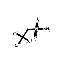 NS(=O)(=O)CC(Cl)(Cl)Cl